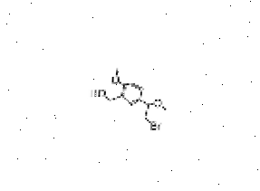 COc1ccc(C(CBr)OC)cc1CO